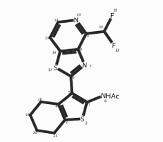 CC(=O)Nc1sc2c(c1-c1nc3c(C(F)F)nccc3s1)CCCC2